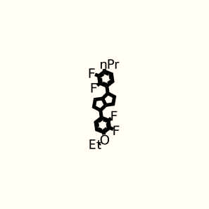 CCCc1ccc(C2CCC3C(c4ccc(OCC)c(F)c4F)CCC23)c(F)c1F